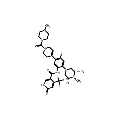 C[C@@H]1CN(c2cc(F)c(C3=CCN(C(=O)N4CCN(C)CC4)CC3)cc2NC(=O)c2c[nH]c(=O)cc2C(F)(F)F)C[C@H](C)N1C